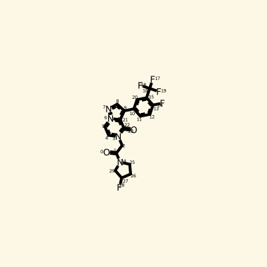 O=C(Cn1ccn2ncc(-c3ccc(F)c(C(F)(F)F)c3)c2c1=O)N1CCC(F)C1